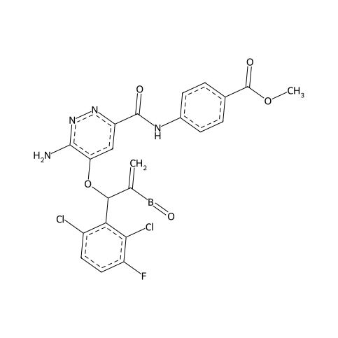 C=C(B=O)C(Oc1cc(C(=O)Nc2ccc(C(=O)OC)cc2)nnc1N)c1c(Cl)ccc(F)c1Cl